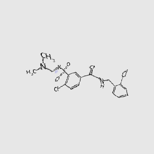 CN(C)/C=N/S(=O)(=O)c1cc(C(=O)NCc2ccccc2Cl)ccc1Cl